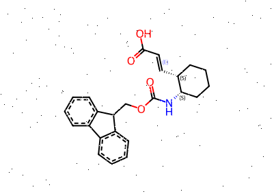 O=C(O)/C=C/[C@@H]1CCCC[C@@H]1NC(=O)OCC1c2ccccc2-c2ccccc21